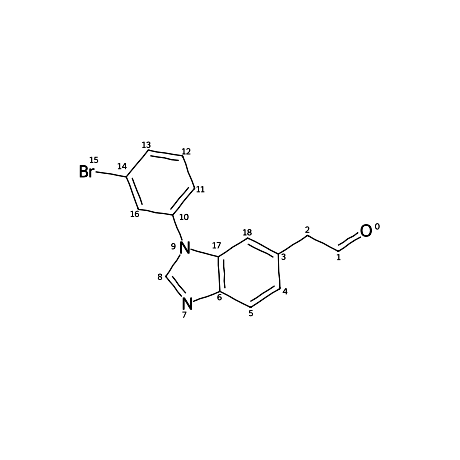 O=CCc1ccc2ncn(-c3cccc(Br)c3)c2c1